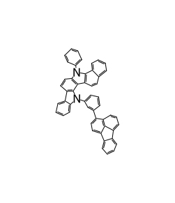 c1ccc(-n2c3ccc4c5ccccc5n(-c5cccc(-c6ccc7c8c(cccc68)-c6ccccc6-7)c5)c4c3c3ccc4ccccc4c32)cc1